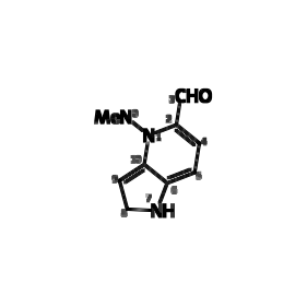 CNN1C(C=O)=CC=C2NCC=C21